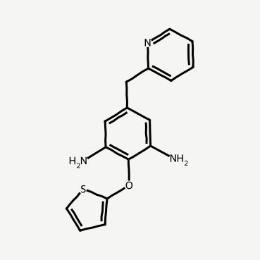 Nc1cc(Cc2ccccn2)cc(N)c1Oc1cccs1